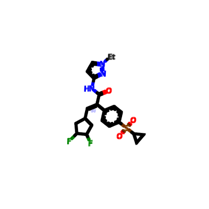 CCn1ccc(NC(=O)/C(=C/C2CC(F)C(F)C2)c2ccc(S(=O)(=O)C3CC3)cc2)n1